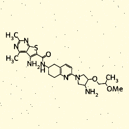 COC(C)COC1CN(c2ccc3c(n2)CCC(NC(=O)c2sc4nc(C)nc(C)c4c2N)C3)CC1N